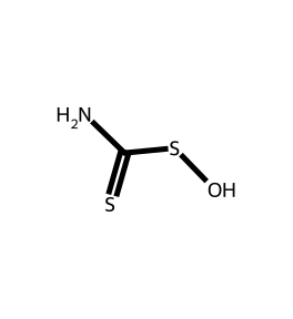 NC(=S)SO